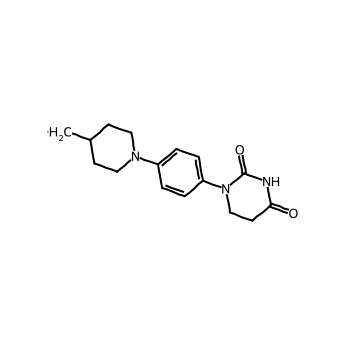 [CH2]C1CCN(c2ccc(N3CCC(=O)NC3=O)cc2)CC1